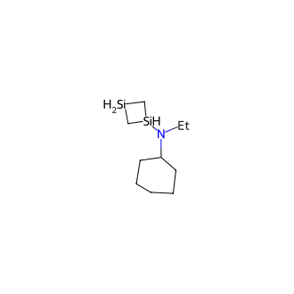 CCN(C1CCCCC1)[SiH]1C[SiH2]C1